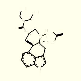 CC(N)=S.CCN(CC)C(=O)[C@@H]1C=C2c3cccc4[nH]cc(c34)C[C@H]2N(C)C1